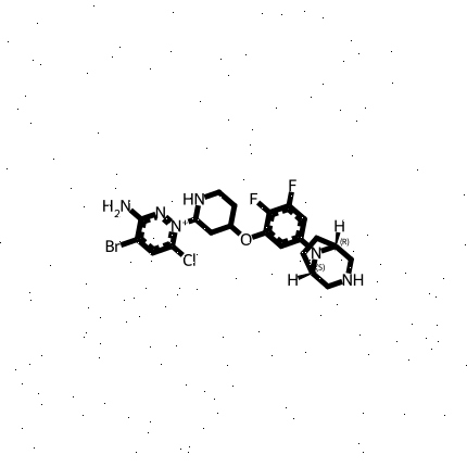 Nc1n[n+](C2CC(Oc3cc(N4[C@@H]5CC[C@H]4CNC5)cc(F)c3F)CCN2)c(Cl)cc1Br